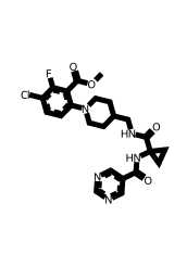 COC(=O)c1c(N2CCC(CNC(=O)C3(NC(=O)c4cncnc4)CC3)CC2)ccc(Cl)c1F